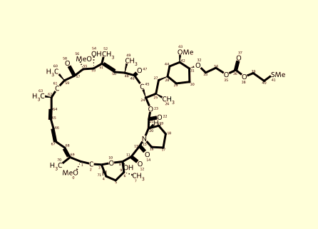 CO[C@H]1C[C@@H]2CC[C@@H](C)[C@@](O)(O2)C(=O)C(=O)N2CCCC[C@H]2C(=O)O[C@H]([C@H](C)C[C@@H]2CC[C@@H](OCCOC(=O)OCCSC)[C@H](OC)C2)CC(=O)[C@H](C)/C=C(\C)[C@@H](O)[C@@H](OC)C(=O)[C@H](C)C[C@H](C)/C=C/C=C/C=C/1C